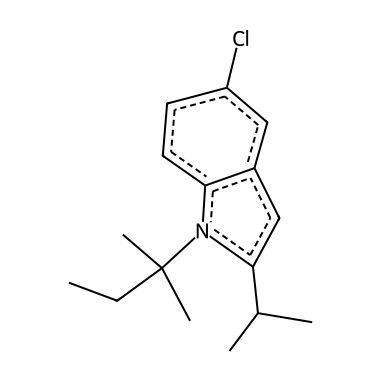 CCC(C)(C)n1c(C(C)C)cc2cc(Cl)ccc21